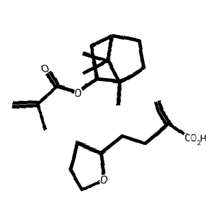 C=C(C)C(=O)OC1CC2CCC1(C)C2(C)C.C=C(CCC1CCCO1)C(=O)O